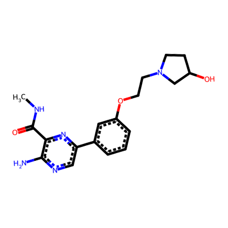 CNC(=O)c1nc(-c2cccc(OCCN3CCC(O)C3)c2)cnc1N